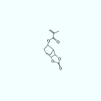 C=C(C)C(=O)OC1CC2CC1C1OC(=O)OC21